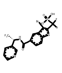 O=C(N[C@H](c1cccnc1)C(F)(F)F)c1ccc2sc(C(F)(F)P(=O)(O)O)c(Br)c2c1